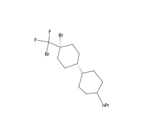 CCCC1CCC([C@H]2CC[C@](Br)(C(F)(F)Br)CC2)CC1